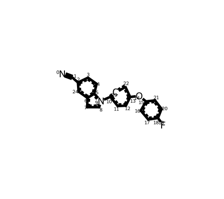 N#Cc1ccc2c(ccn2-c2ccc(Oc3ccc(F)cc3)cc2)c1